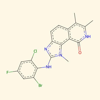 Cc1[nH]c(=O)c2c(ccc3nc(Nc4c(Cl)cc(F)cc4Br)n(C)c32)c1C